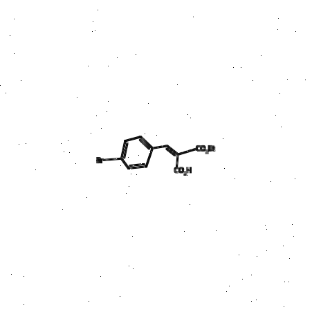 CCOC(=O)C(=Cc1ccc(Br)cc1)C(=O)O